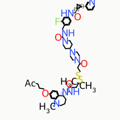 CC(=O)CCCOc1ccc2c(c1)N(C)CCC/C2=N\NC(=O)CC(C)(C)SSCCC(=O)N1CCN(C2CCN(C(=O)NCc3ccc(NC(=O)[C@H]4C[C@@H]4c4cccnc4)cc3F)CC2)CC1